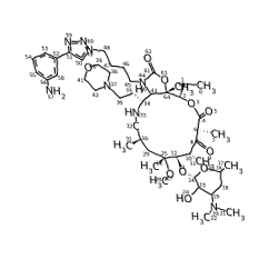 CC[C@H]1OC(=O)[C@H](C)C(=O)[C@H](C)[C@@H](O[C@@H]2OC(C)CC(N(C)C)C2O)[C@](C)(OC)C[C@@H](C)CN[C@H](CCN2CCOCC2)[C@H]2N(CCCCn3cc(-c4cccc(N)c4)nn3)C(=O)O[C@]12C